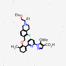 CCOC[C@H](CC)N1CCc2c(ccc(COC3=C(C)CCC=C3c3cccc(-n4ncc(C(=O)O)c4OC)n3)c2F)C1